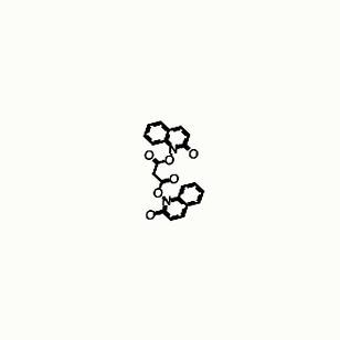 O=C(CC(=O)On1c(=O)ccc2ccccc21)On1c(=O)ccc2ccccc21